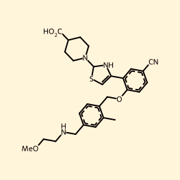 COCCNCc1ccc(COc2ccc(C#N)cc2C2=CSC(N3CCC(C(=O)O)CC3)N2)c(C)c1